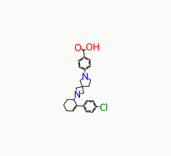 O=C(O)c1ccc(N2CCC3(C2)CN(C2CCCC=C2c2ccc(Cl)cc2)C3)cc1